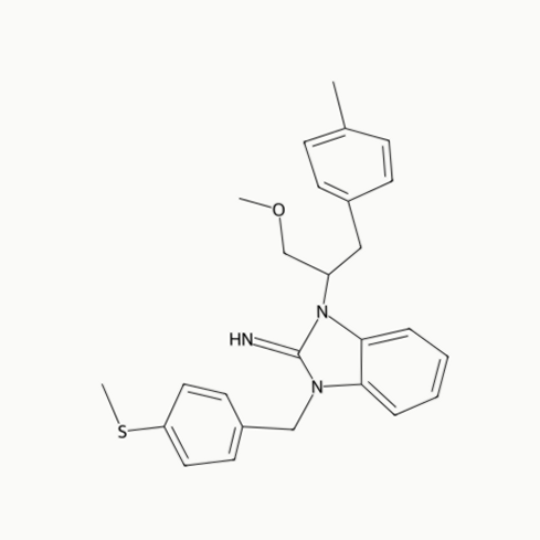 COCC(Cc1ccc(C)cc1)n1c(=N)n(Cc2ccc(SC)cc2)c2ccccc21